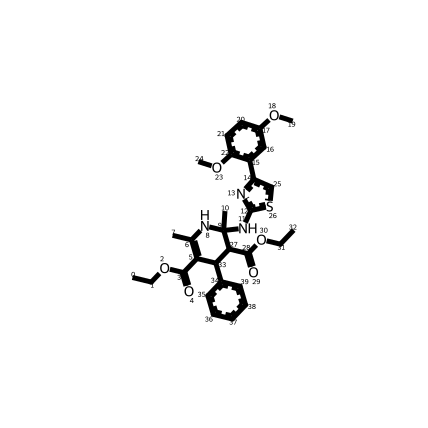 CCOC(=O)C1=C(C)NC(C)(Nc2nc(-c3cc(OC)ccc3OC)cs2)C(C(=O)OCC)C1c1ccccc1